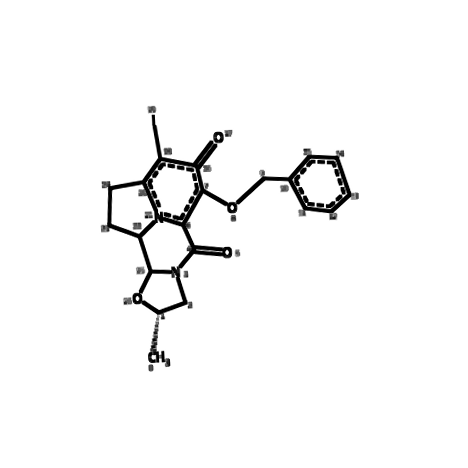 C[C@H]1CN2C(=O)c3c(OCc4ccccc4)c(=O)c(I)c4n3C(CC4)C2O1